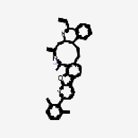 C=CC1=NC2CC(=C)/N=C(/C)c3c(ccc4c3oc3nc(-c5c(C)cccc5C)ccc34)CCC2c2ccccc21